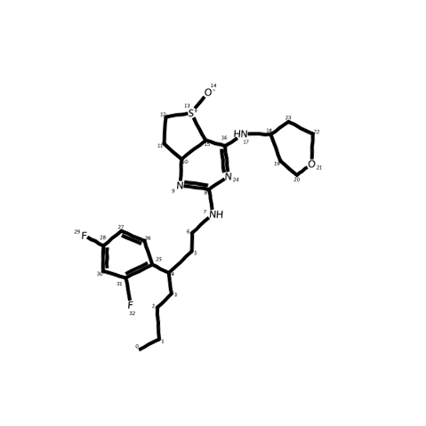 CCCCC(CCNC1=NC2CC[S+]([O-])C2C(NC2CCOCC2)=N1)c1ccc(F)cc1F